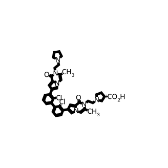 Cc1cn2cc(-c3cccc(-c4cccc(-c5cc6c(=O)n(CCN7CC[C@H](C(=O)O)C7)c(C)cn6c5)c4Cl)c3Cl)cc2c(=O)n1CCN1CCCC1